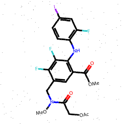 COC(=O)c1cc(CN(OC)C(=O)COC(C)=O)c(F)c(F)c1Nc1ccc(I)cc1F